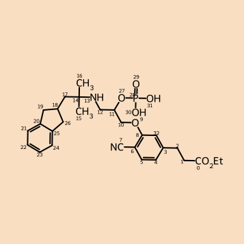 CCOC(=O)CCc1ccc(C#N)c(OCC(CNC(C)(C)CC2Cc3ccccc3C2)OP(=O)(O)O)c1